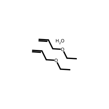 C=CCOCC.C=CCOCC.O